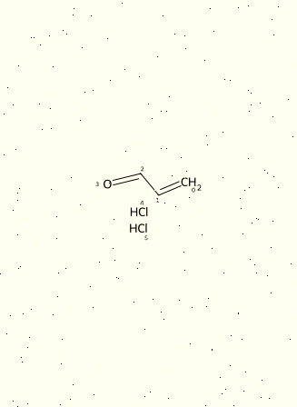 C=CC=O.Cl.Cl